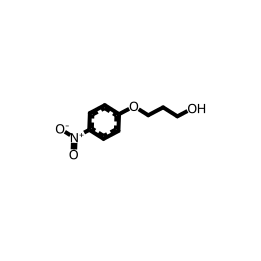 O=[N+]([O-])c1ccc(OCCCO)cc1